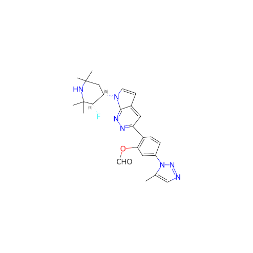 Cc1cnnn1-c1ccc(-c2cc3ccn([C@H]4CC(C)(C)NC(C)(C)[C@H]4F)c3nn2)c(OC=O)c1